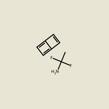 CC(N)(F)F.c1cc2ccc1-2